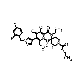 CCOC(=O)N1CCC2(CC1)N(CC)C(=O)c1c(O)c(=O)c(-c3cnn(Cc4ccc(F)cc4F)c3)c(CO)n1N2C